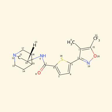 Cc1c(-c2ccc(C(=O)N[C@H]3CN4CCC3CC4)s2)noc1C(F)(F)F